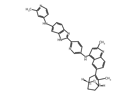 CC1=C(c2ccc3nc(C)cc(Nc4ccc(-c5nc6ccc(Nc7ccnc(C)c7)cc6[nH]5)nc4)c3c2)C[C@H]2CC[C@@H]1O2